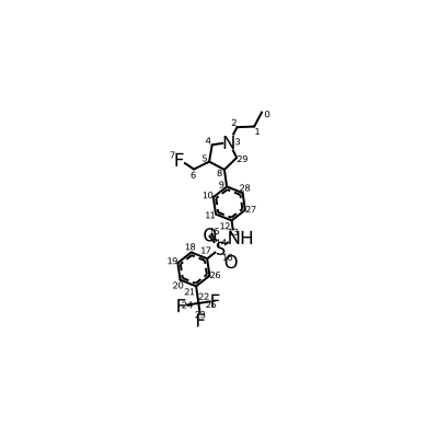 CCCN1CC(CF)C(c2ccc(NS(=O)(=O)c3cccc(C(F)(F)F)c3)cc2)C1